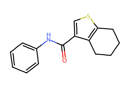 O=C(Nc1ccccc1)c1csc2c1CCCC2